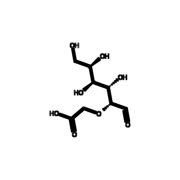 O=C[C@H](OCC(=O)O)[C@@H](O)[C@@H](O)[C@H](O)CO